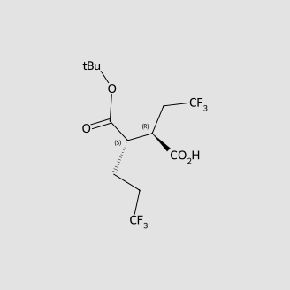 CC(C)(C)OC(=O)[C@@H](CCC(F)(F)F)[C@@H](CC(F)(F)F)C(=O)O